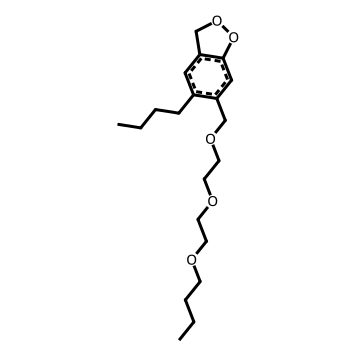 CCCCOCCOCCOCc1cc2c(cc1CCCC)COO2